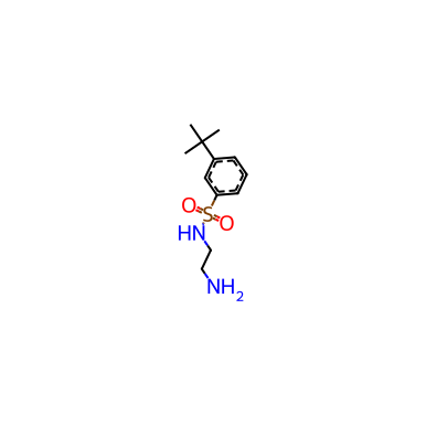 CC(C)(C)c1cccc(S(=O)(=O)NCCN)c1